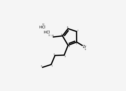 CCCCC1=[C]([Zr])CC=C1C.Cl.Cl